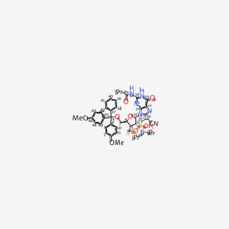 COc1ccc(C(OC[C@H]2O[C@@H](n3cnc4c(=O)[nH]c(NC(=O)C(C)C)nc43)[C@H](P(O)(O)(CCC#N)N(C(C)C)C(C)C)[C@@H]2F)(c2ccccc2)c2ccc(OC)cc2)cc1